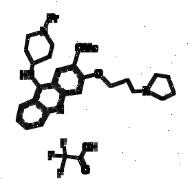 COc1cc2c(NC3CCN(C(C)C)CC3)c3ccccc3nc2cc1OCCCN1CCCC1.O=C(O)C(F)(F)F